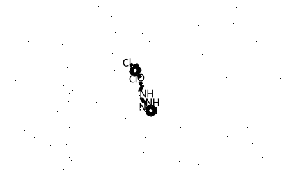 Clc1ccc(OCCCNCc2nc3ccccc3[nH]2)c(Cl)c1